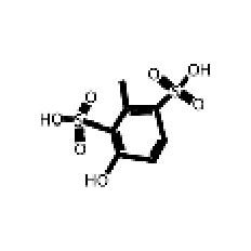 Cc1c(S(=O)(=O)O)ccc(O)c1S(=O)(=O)O